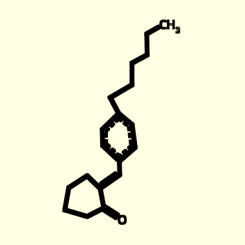 CCCCCCc1ccc(C=C2CCCCC2=O)cc1